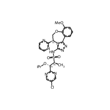 COc1cccc2c1OC[C@H](c1ncccn1)n1c(NS(=O)(=O)[C@@H](C)[C@@H](OC(C)C)c3ncc(Cl)cn3)nnc1-2